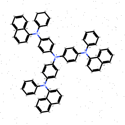 C1=CC(N(c2ccc(N(c3ccc(N(c4ccccc4)c4cccc5ccccc45)cc3)c3ccc(N(c4ccccc4)c4cccc5ccccc45)cc3)cc2)c2cccc3ccccc23)=CCC1